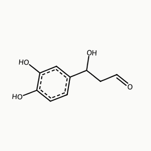 O=CCC(O)c1ccc(O)c(O)c1